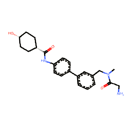 CN(Cc1cccc(-c2ccc(NC(=O)[C@H]3CC[C@@H](O)CC3)cc2)c1)C(=O)CN